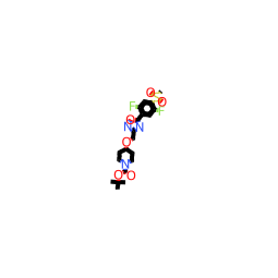 CC(C)(C)OC(=O)N1CCC(OCc2noc(-c3cc(F)c(S(C)(=O)=O)cc3F)n2)CC1